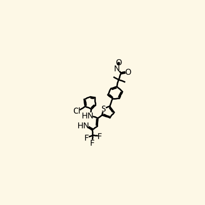 CC(C)(C(=O)N=O)c1ccc(-c2ccc(/C(=C/C(=N)C(F)(F)F)Nc3ccccc3Cl)s2)cc1